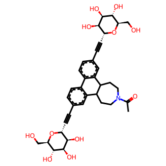 CC(=O)N1CCC2c3cc(C#C[C@H]4O[C@H](CO)[C@@H](O)[C@H](O)[C@@H]4O)ccc3-c3ccc(C#C[C@H]4O[C@H](CO)[C@@H](O)[C@H](O)[C@@H]4O)cc3C2CC1